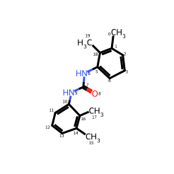 Cc1cccc(NC(=O)Nc2cccc(C)c2C)c1C